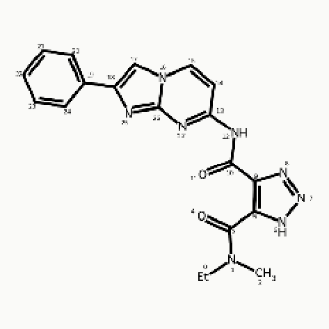 CCN(C)C(=O)c1[nH]nnc1C(=O)Nc1ccn2cc(-c3ccccc3)nc2n1